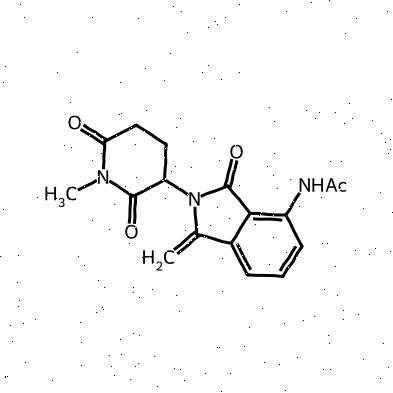 C=C1c2cccc(NC(C)=O)c2C(=O)N1C1CCC(=O)N(C)C1=O